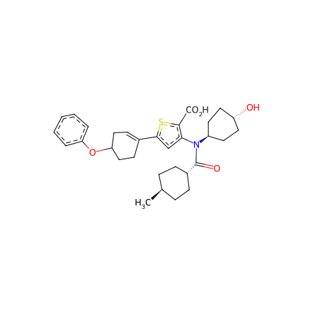 C[C@H]1CC[C@H](C(=O)N(c2cc(C3=CCC(Oc4ccccc4)CC3)sc2C(=O)O)[C@H]2CC[C@H](O)CC2)CC1